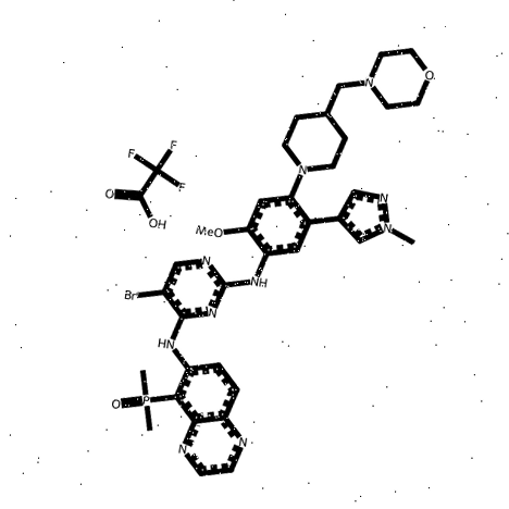 COc1cc(N2CCC(CN3CCOCC3)CC2)c(-c2cnn(C)c2)cc1Nc1ncc(Br)c(Nc2ccc3nccnc3c2P(C)(C)=O)n1.O=C(O)C(F)(F)F